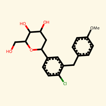 COc1ccc(Cc2cc(C3CC(O)C(O)C(CO)O3)ccc2Cl)cc1